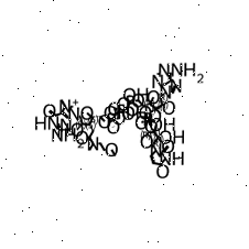 COCCN(C)C(=O)C[C@@H]1[C@@H](COP(=O)(O)OP(=O)(O)OP(=O)(O)OC[C@H]2O[C@@H](n3cnc4c(N)ncnc43)[C@H](OC)[C@@H]2OP(=O)([O-])OC[C@H]2O[C@@H](n3ccc(=O)[nH]c3=O)[C@H](O)[C@@H]2O)OC(n2c[n+](C)c3c(=O)[nH]c(N)nc32)[C@@H]1O